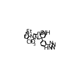 CCCCc1cn(-c2c(C(F)(F)F)ccn2CC)c(=O)n1CC1(c2cccc(-c3nnn[nH]3)c2)C=CNC=C1